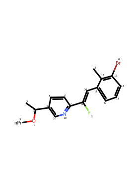 CCCOC(C)c1ccc(/C(F)=C/c2cccc(Br)c2C)nc1